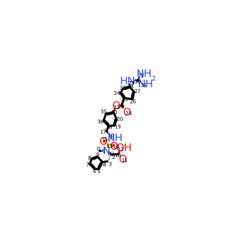 CN([C@@H](Cc1ccccc1)C(=O)O)S(=O)(=O)NCc1ccc(OC(=O)c2ccc(NC(=N)N)cc2)cc1